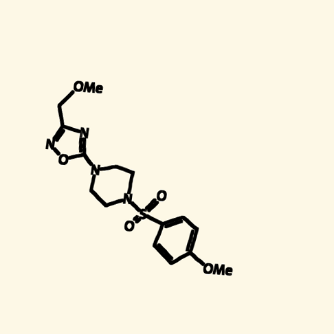 COCc1noc(N2CCN(S(=O)(=O)c3ccc(OC)cc3)CC2)n1